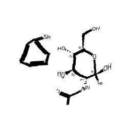 CC(=O)N[C@@H]1[C@@H](O)[C@H](O)[C@@H](CO)O[C@]1(O)[Se].Sc1ccccc1